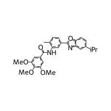 COc1cc(C(=O)Nc2cc(-c3nc4cc(C(C)C)ccc4o3)ccc2C)cc(OC)c1OC